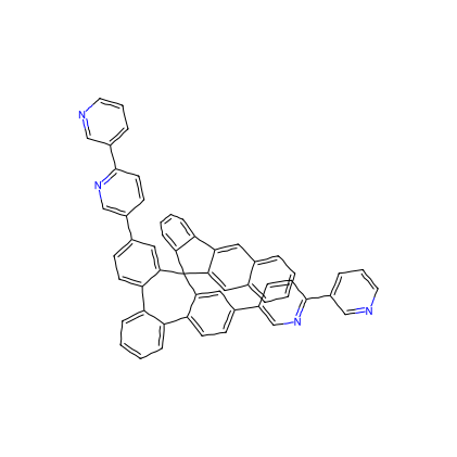 c1cncc(-c2ccc(-c3ccc4c(c3)C3(c5cc(-c6ccc(-c7cccnc7)nc6)ccc5-c5ccccc5-4)c4ccccc4-c4cc5ccccc5cc43)cn2)c1